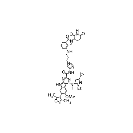 CCn1nc(C2CC2)cc1Nc1nc(C(=O)Nc2cn(CCCNc3cccc4c3CN(C3CCC(=O)NC3=O)C4=O)cn2)nc2[nH]c3cc(-c4c(C)noc4C)c(OC)cc3c12